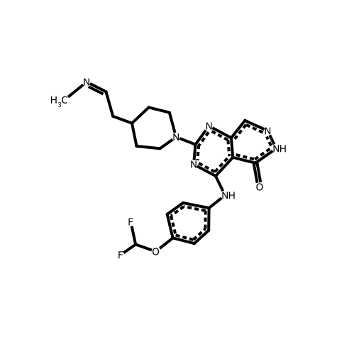 C/N=C\CC1CCN(c2nc(Nc3ccc(OC(F)F)cc3)c3c(=O)[nH]ncc3n2)CC1